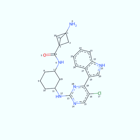 NC12CC(C(=O)NC3CCCC(Nc4ncc(Cl)c(-c5c[nH]c6ccccc56)n4)C3)(C1)C2